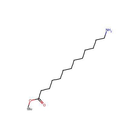 CC(C)(C)OC(=O)CCCCCCCCCCCCN